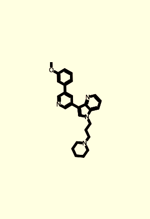 COc1cccc(-c2cncc(-c3cn(CCCN4CCCCC4)c4cccnc34)c2)c1